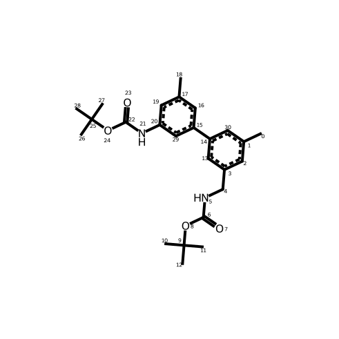 Cc1cc(CNC(=O)OC(C)(C)C)cc(-c2cc(C)cc(NC(=O)OC(C)(C)C)c2)c1